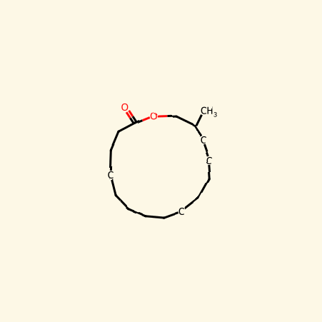 CC1CCCCCCCCCCCCC(=O)OC1